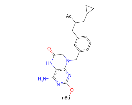 CCCCOc1nc(N)c2c(n1)N(Cc1cccc(CC(CC3CC3)C(C)=O)c1)CC(=O)N2